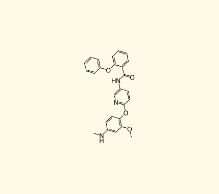 CNc1ccc(Oc2ccc(NC(=O)c3ccccc3Oc3ccccc3)cn2)c(OC)c1